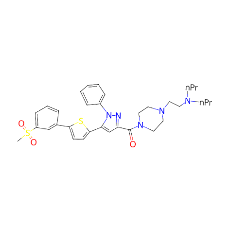 CCCN(CCC)CCN1CCN(C(=O)c2cc(-c3ccc(-c4cccc(S(C)(=O)=O)c4)s3)n(-c3ccccc3)n2)CC1